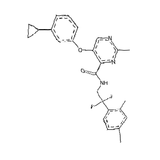 Cc1ccc(C(F)(F)CNC(=O)c2nc(C)ncc2Oc2cccc(C3CC3)c2)c(C)c1